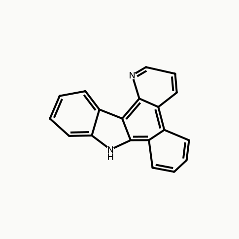 c1ccc2c(c1)[nH]c1c3ccccc3c3cccnc3c21